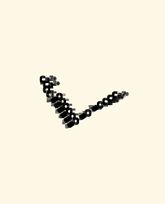 C[O-].C[O-].C[O-].C[O-].C[O-].C[O-].C[O-].C[O-].[Ca+2].[Ca+2].[Ca+2].[Ca+2].[Ca+2].[Cl-].[Cl-]